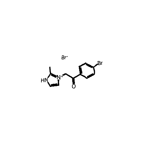 Cc1[nH]cc[n+]1CC(=O)c1ccc(Br)cc1.[Br-]